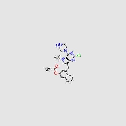 Cn1cc(Cc2cc(OC(=O)C(C)(C)C)cc3ccccc23)c2nc(Cl)nc(N3CCNCC3)c21